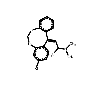 CC(C=C1c2ccccc2OCOc2cc(Cl)ccc21)N(C)C